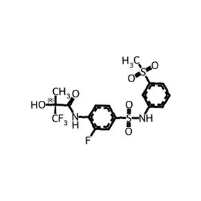 C[C@@](O)(C(=O)Nc1ccc(S(=O)(=O)Nc2cccc(S(C)(=O)=O)c2)cc1F)C(F)(F)F